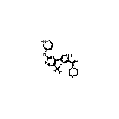 O=C(c1cc(-c2nc(N[C@H]3CCCNC3)ncc2C(F)(F)F)c[nH]1)N1CCOCC1